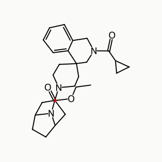 CCOC(=O)N1C2CCC1CC(N1CCC3(CC1)CN(C(=O)C1CC1)Cc1ccccc13)C2